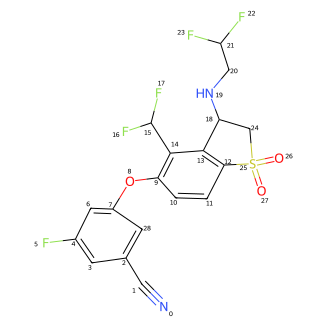 N#Cc1cc(F)cc(Oc2ccc3c(c2C(F)F)C(NCC(F)F)CS3(=O)=O)c1